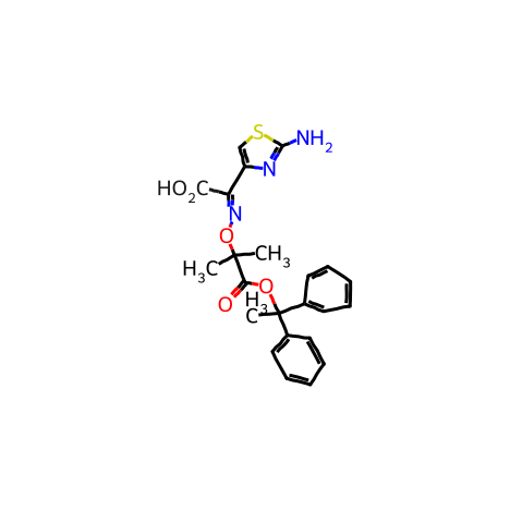 CC(C)(O/N=C(\C(=O)O)c1csc(N)n1)C(=O)OC(C)(c1ccccc1)c1ccccc1